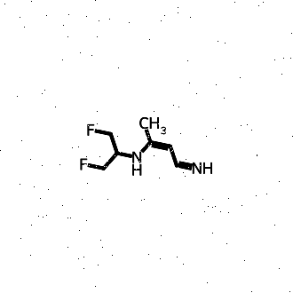 C/C(=C/C=N)NC(CF)CF